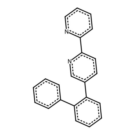 c1ccc(-c2ccccc2-c2ccc(-c3ccccn3)nc2)cc1